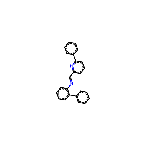 C(=N\c1ccccc1-c1ccccc1)/c1cccc(-c2ccccc2)n1